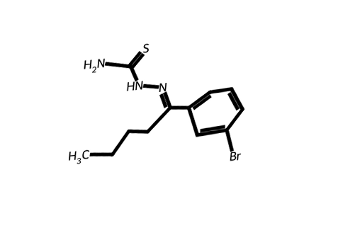 CCCC/C(=N\NC(N)=S)c1cccc(Br)c1